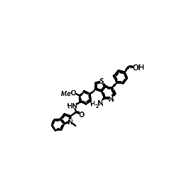 COc1cc(-c2csc3c(-c4ccc(CO)cc4)cnc(N)c23)ccc1NC(=O)c1cc2ccccc2n1C